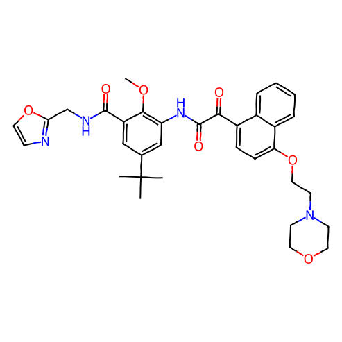 COc1c(NC(=O)C(=O)c2ccc(OCCN3CCOCC3)c3ccccc23)cc(C(C)(C)C)cc1C(=O)NCc1ncco1